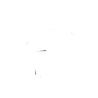 C=C[C@]1(C)C[C@@H](C(SCCN(CC)CC)C(=O)O)C2(C)[C@H](C)CCC3(CCC(=O)[C@H]32)[C@@H](C)[C@@H]1O